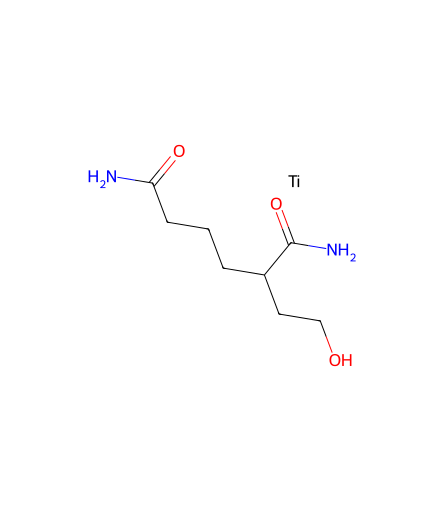 NC(=O)CCCC(CCO)C(N)=O.[Ti]